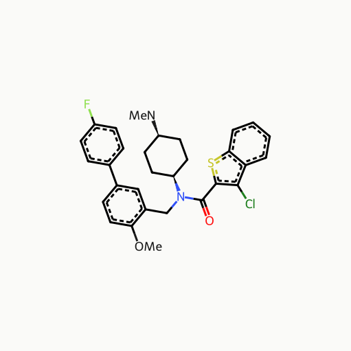 CN[C@H]1CC[C@@H](N(Cc2cc(-c3ccc(F)cc3)ccc2OC)C(=O)c2sc3ccccc3c2Cl)CC1